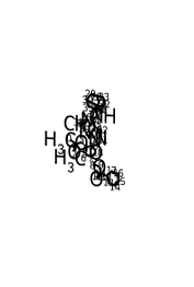 CC(=O)O[C@@H]1C(C)[C@@H](COC(=O)c2ccccc2)O[C@H]1n1ncc2c(NC34CC5CC(CC(C5)C3)C4)nc(Cl)nc21